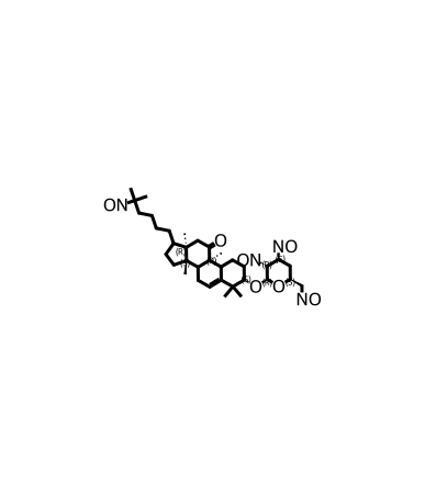 CC(C)(CCCCC1CC[C@@]2(C)C3CC=C4C(CC[C@H](O[C@@H]5O[C@H](CN=O)C[C@H](N=O)[C@H]5N=O)C4(C)C)[C@]3(C)C(=O)C[C@]12C)N=O